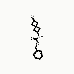 O=C1CC2(C1)CC(NC(=O)OCc1ccccc1)C2